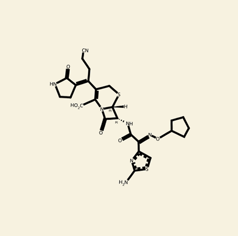 N#CCCC(=C1CCNC1=O)C1=C(C(=O)O)N2C(=O)[C@@H](NC(=O)C(=NOC3CCCC3)c3csc(N)n3)[C@H]2SC1